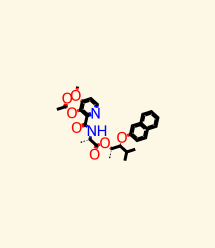 COc1ccnc(C(=O)N[C@@H](C)C(=O)O[C@@H](C)[C@H](Oc2ccc3ccccc3c2)C(C)C)c1OC(C)=O